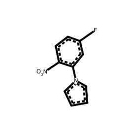 O=[N+]([O-])c1ccc(F)cc1-n1cccc1